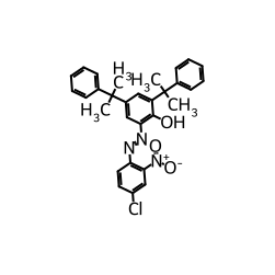 CC(C)(c1ccccc1)c1cc(N=Nc2ccc(Cl)cc2[N+](=O)[O-])c(O)c(C(C)(C)c2ccccc2)c1